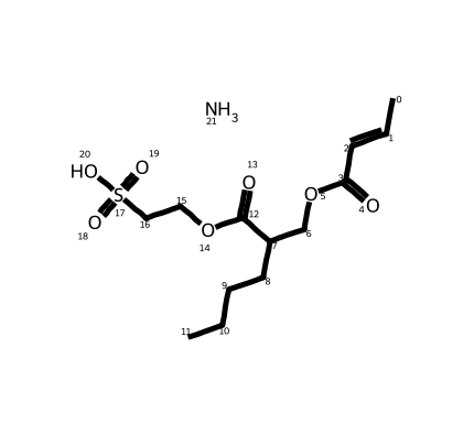 CC=CC(=O)OCC(CCCC)C(=O)OCCS(=O)(=O)O.N